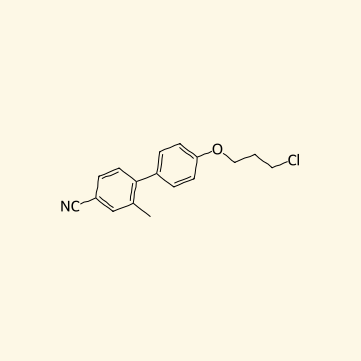 Cc1cc(C#N)ccc1-c1ccc(OCCCCl)cc1